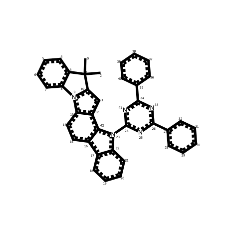 CC1(C)c2ccccc2-n2c1cc1c2ccc2c3ccccc3n(-c3nc(-c4ccccc4)nc(-c4ccccc4)n3)c21